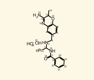 CCCC(NCc1ccc2c(c1)N=C(N)C(C)O2)NC(=O)c1ccccc1.Cl.Cl